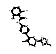 CC1=C(c2cnc(NC(=O)c3c(F)cccc3Cl)cn2)CN(c2nnn(C)n2)CC1